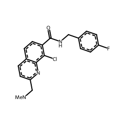 CNCc1ccc2ccc(C(=O)NCc3ccc(F)cc3)c(Cl)c2n1